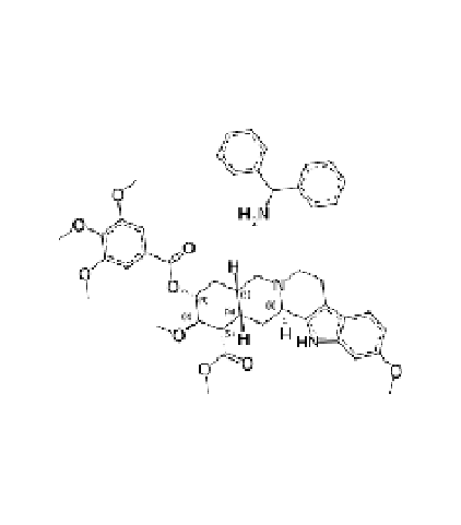 COC(=O)[C@H]1[C@H]2C[C@@H]3c4[nH]c5cc(OC)ccc5c4CCN3C[C@H]2C[C@@H](OC(=O)c2cc(OC)c(OC)c(OC)c2)[C@@H]1OC.NC(c1ccccc1)c1ccccc1